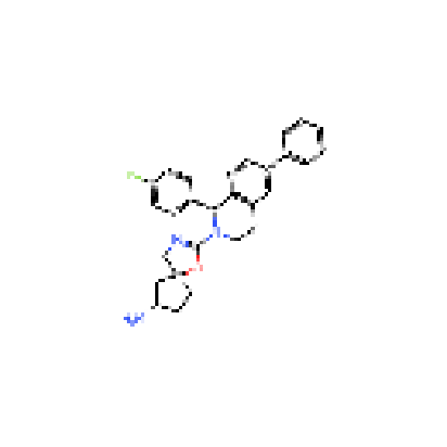 N[C@H]1CC[C@@]2(CN=C(N3CCc4cc(-c5ccccc5)ccc4[C@@H]3c3ccc(F)cc3)O2)C1